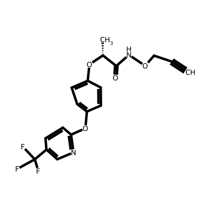 C#CCONC(=O)[C@@H](C)Oc1ccc(Oc2ccc(C(F)(F)F)cn2)cc1